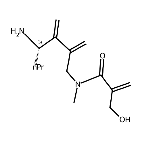 C=C(CN(C)C(=O)C(=C)CO)C(=C)[C@@H](N)CCC